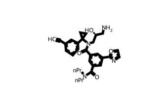 C#Cc1cccc(C2(N(C[C@@H](O)CN)C(=O)c3cc(C(=O)N(CCC)CCC)cc(-c4ncco4)c3)CC2)c1